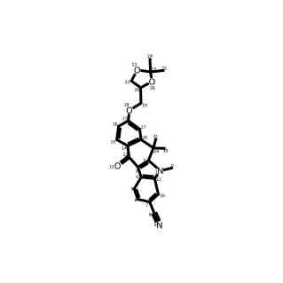 Cn1c2c(c3ccc(C#N)cc31)C(=O)c1ccc(OCC3COC(C)(C)O3)cc1C2(C)C